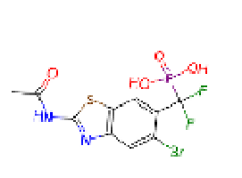 CC(=O)Nc1nc2cc(Br)c(C(F)(F)P(=O)(O)O)cc2s1